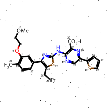 COCCOc1cc(-c2nc(Nc3ncc(-c4cccs4)nc3C(=O)O)sc2CC(C)C)ccc1C(F)(F)F